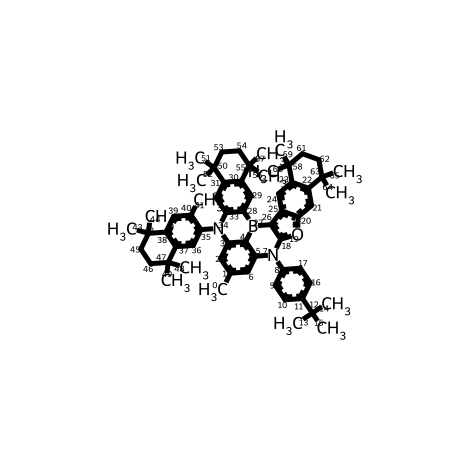 Cc1cc2c3c(c1)N(c1ccc(C(C)(C)C)cc1)c1oc4cc5c(cc4c1B3c1cc3c(cc1N2c1cc2c(cc1C)C(C)(C)CCC2(C)C)C(C)(C)CCC3(C)C)C(C)(C)CCC5(C)C